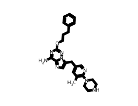 Cc1cc(Cc2cnc3c(N)nc(OCCCc4ccccc4)nn23)cnc1N1CCNCC1